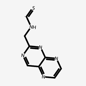 S=[C]NCc1ncc2nccnc2n1